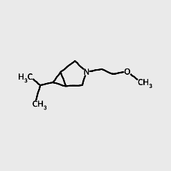 COCCN1CC2C(C1)C2C(C)C